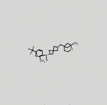 Cc1nc(C(F)(F)F)ccc1[S+]([O-])N1CC2(CN(CC34CCOC(C)(C3)C4)C2)C1